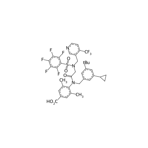 Cc1cc(C(=O)O)cc(C)c1N(Cc1cc(C2CC2)cc(C(C)(C)C)c1)C(=O)CN(Cc1cnccc1C(F)(F)F)S(=O)(=O)c1c(F)c(F)c(F)c(F)c1F